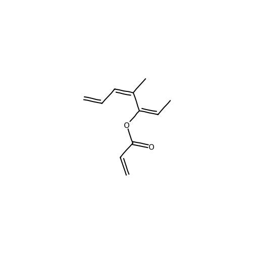 C=C/C=C(C)\C(=C/C)OC(=O)C=C